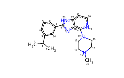 CC(C)c1cccc(-c2nc3c(N4CCN(C)CC4)nccc3[nH]2)c1